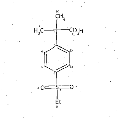 CCS(=O)(=O)c1ccc(C(C)(C)C(=O)O)cc1